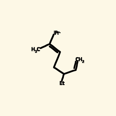 C=CC(CC)CC=C(C)[C](C)C